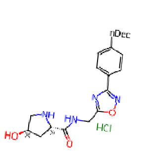 CCCCCCCCCCc1ccc(-c2noc(CNC(=O)[C@@H]3C[C@@H](O)CN3)n2)cc1.Cl